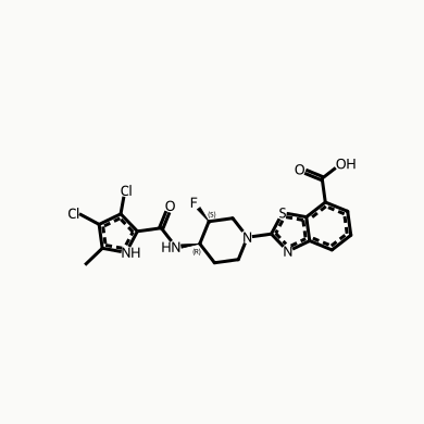 Cc1[nH]c(C(=O)N[C@@H]2CCN(c3nc4cccc(C(=O)O)c4s3)C[C@@H]2F)c(Cl)c1Cl